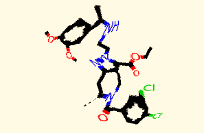 CCOC(=O)c1c2c(nn1CCNC(C)c1ccc(OC)c(OC)c1)C[C@@H](C)N(C(=O)c1ccc(Cl)c(Cl)c1)C2